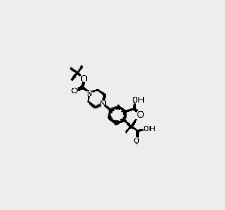 CC(C)(C)OC(=O)N1CCN(c2ccc(C(C)(C)C(=O)O)c(C(=O)O)c2)CC1